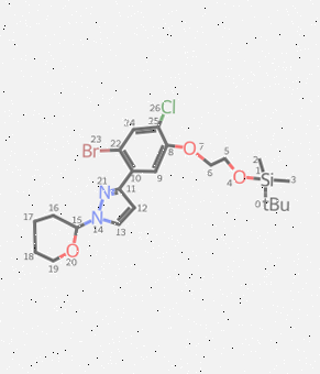 CC(C)(C)[Si](C)(C)OCCOc1cc(-c2ccn(C3CCCCO3)n2)c(Br)cc1Cl